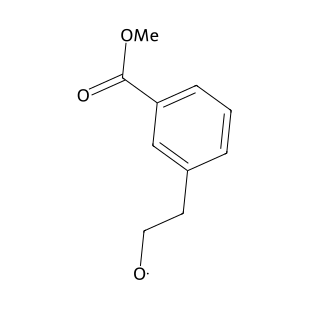 COC(=O)c1cccc(CC[O])c1